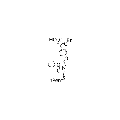 CCCCCSCCN(CCOc1ccc(CC(OCC)C(=O)O)cc1)C(=O)OC1CCCCC1